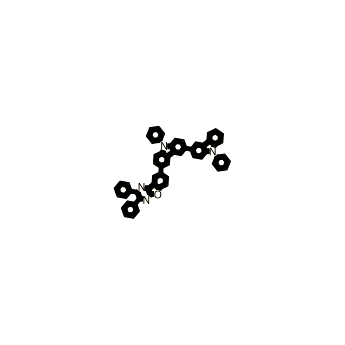 c1ccc(-c2nc3oc4ccc(-c5ccc6c(c5)c5cc(-c7ccc8c(c7)c7ccccc7n8-c7ccccc7)ccc5n6-c5ccccc5)cc4c3nc2-c2ccccc2)cc1